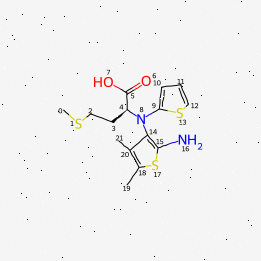 CSCC[C@@H](C(=O)O)N(c1cccs1)c1c(N)sc(C)c1C